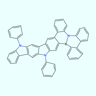 c1ccc(-n2c3ccccc3c3cc4c(cc32)c2cc3c(cc2n4-c2ccccc2)B2c4ccccc4-c4ccccc4N2c2ccccc2-3)cc1